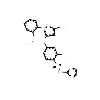 COc1ccccc1-n1nc(C)cc1Nc1ccc(S(=O)(=O)Nc2nccs2)c(F)c1